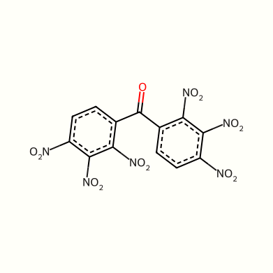 O=C(c1ccc([N+](=O)[O-])c([N+](=O)[O-])c1[N+](=O)[O-])c1ccc([N+](=O)[O-])c([N+](=O)[O-])c1[N+](=O)[O-]